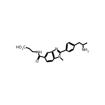 CC(N)Cc1ccc(-c2nc3cc(C(=O)NCCC(=O)O)ccc3n2C)cc1